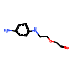 Nc1ccc(NCCOCC=O)cc1